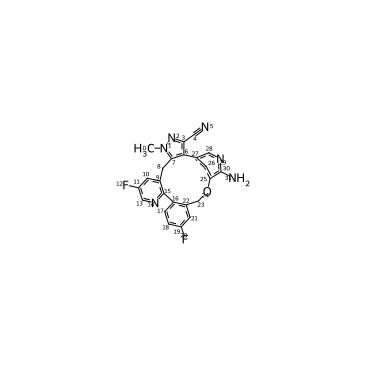 Cn1nc(C#N)c2c1Cc1cc(F)cnc1-c1ccc(F)cc1COc1cc-2cnc1N